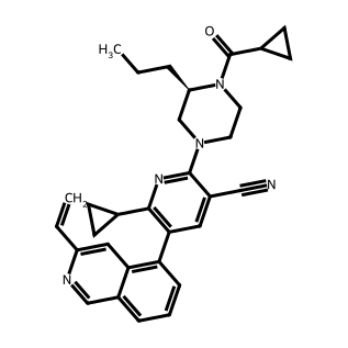 C=Cc1cc2c(-c3cc(C#N)c(N4CCN(C(=O)C5CC5)[C@H](CCC)C4)nc3C3CC3)cccc2cn1